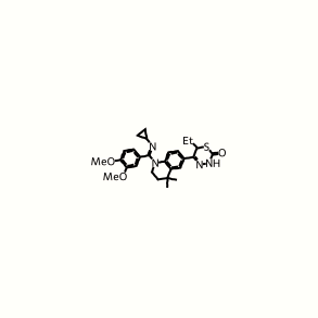 CCC1SC(=O)NN=C1c1ccc2c(c1)C(C)(C)CCN2C(=NC1CC1)c1ccc(OC)c(OC)c1